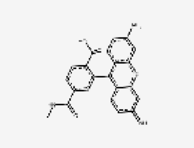 CNC(=O)c1ccc(C(=O)O)c(-c2c3ccc(=N)cc-3oc3cc(N)ccc23)c1